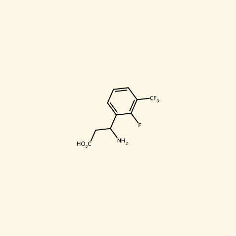 NC(CC(=O)O)c1cccc(C(F)(F)F)c1F